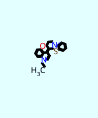 CCCN1C=CC2=C3c4sc5ccccc5[n+]4CCC3Oc3cccc1c32